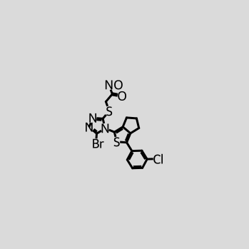 O=NC(=O)CSc1nnc(Br)n1-c1sc(-c2cccc(Cl)c2)c2c1CCC2